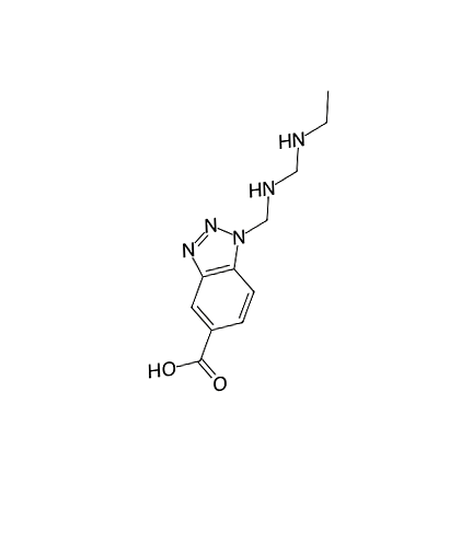 CCNCNCn1nnc2cc(C(=O)O)ccc21